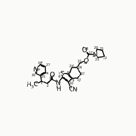 CC(CC(=O)Nc1sc2c(c1C#N)CCC(COC(=O)N1CCCC1)C2)c1cccnc1